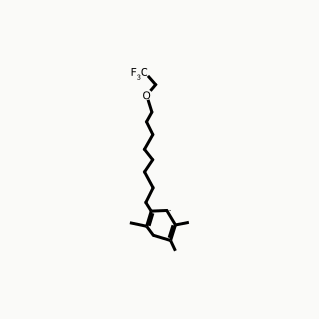 CC1=C(C)CC(C)=C(CCCCCCCCOCC(F)(F)F)[CH]1